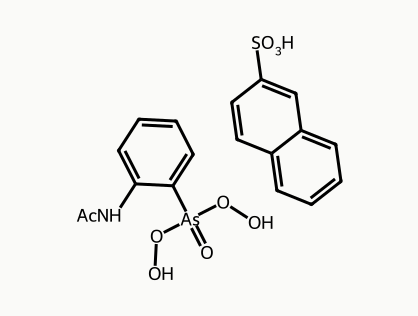 CC(=O)Nc1ccccc1[As](=O)(OO)OO.O=S(=O)(O)c1ccc2ccccc2c1